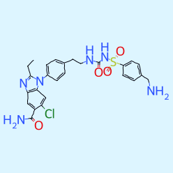 CCc1nc2cc(C(N)=O)c(Cl)cc2n1-c1ccc(CCNC(=O)NS(=O)(=O)c2ccc(CN)cc2)cc1